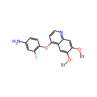 CCOc1cc2nccc(Oc3ccc(N)cc3F)c2cc1OCC